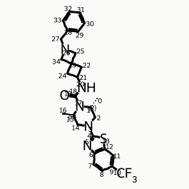 C[C@@H]1CN(c2nc3ccc(C(F)(F)F)cc3s2)C[C@@H](C)N1C(=O)NC1CC2(C1)CN(Cc1ccccc1)C2